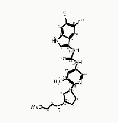 COCCO[C@@H]1CCN(c2ncc(NC(=O)Nc3c[nH]c4cc(F)c(F)cc34)cc2C)C1